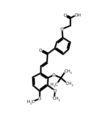 COc1ccc(C=CC(=O)c2cccc(OCC(=O)O)c2)c(OC(C)(C)C)c1OC